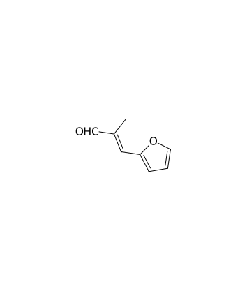 C/C(C=O)=C\c1ccco1